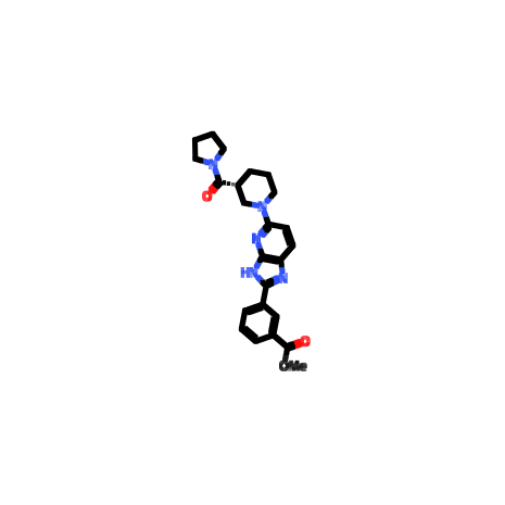 COC(=O)c1cccc(-c2nc3ccc(N4CCC[C@@H](C(=O)N5CCCC5)C4)nc3[nH]2)c1